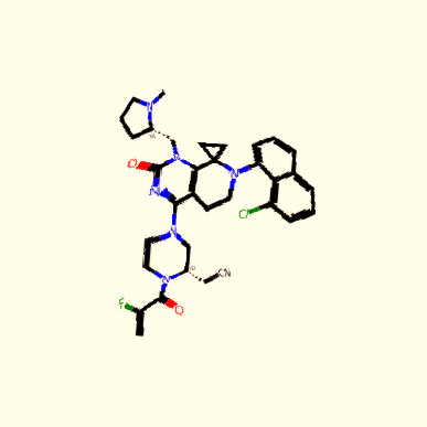 C=C(F)C(=O)N1CCN(c2nc(=O)n(C[C@@H]3CCCN3C)c3c2CCN(c2cccc4cccc(Cl)c24)C32CC2)C[C@@H]1CC#N